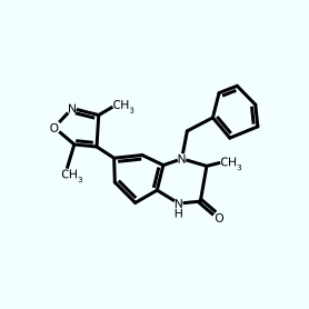 Cc1noc(C)c1-c1ccc2c(c1)N(Cc1ccccc1)C(C)C(=O)N2